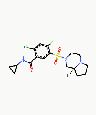 O=C(NC1CC1)c1cc(S(=O)(=O)N2CCN3CCC[C@H]3C2)c(F)cc1Cl